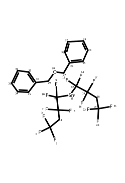 FC(F)(F)CC(F)(F)[C](F)(F)[Sn][C](F)(F)C(F)(F)CC(F)(F)F.c1ccc(COCc2ccccc2)cc1